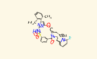 Cc1cccc(C)c1-c1cc2nc(n1)NS(=O)(=O)c1cccc(c1)C(=O)N(CCc1cccc(F)n1)[C@H](CC(C)(C)C)CO2